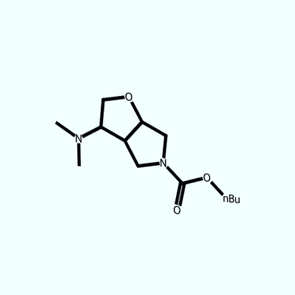 CCCCOC(=O)N1CC2OCC(N(C)C)C2C1